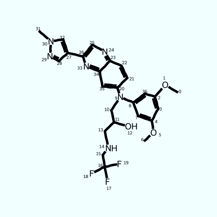 COc1cc(OC)cc(N(CC(O)CNCC(F)(F)F)c2ccc3ncc(-c4cnn(C)c4)nc3c2)c1